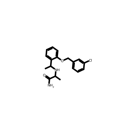 CC(NC(C)c1ccccc1OCc1cccc(Cl)c1)C(N)=O